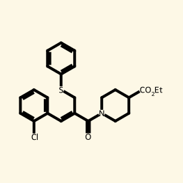 CCOC(=O)C1CCN(C(=O)/C(=C/c2ccccc2Cl)CSc2ccccc2)CC1